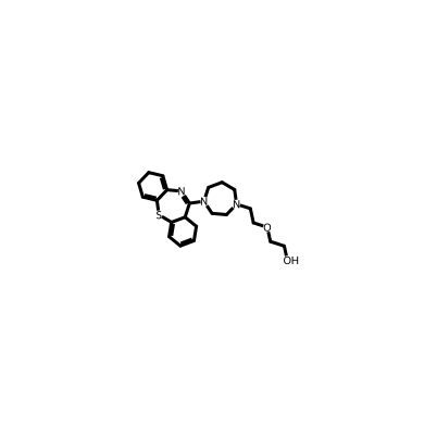 OCCOCCN1CCCN(C2=NC3=CCCC=C3SC3=CC=CCC32)CC1